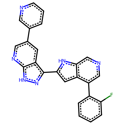 Fc1ccccc1-c1cncc2[nH]c(-c3n[nH]c4ncc(-c5cccnc5)cc34)cc12